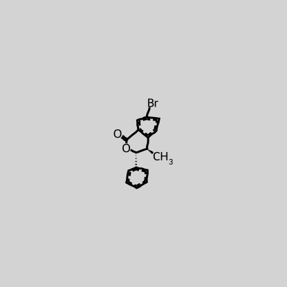 C[C@@H]1c2ccc(Br)cc2C(=O)O[C@H]1c1ccccc1